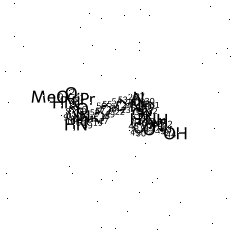 COC(=O)N[C@H](C(=O)N1CCC[C@H]1c1nc(-c2ccc3cc(-c4ccc(-c5cnc([C@@H]6CCCN6C(=O)[C@H](NC(=O)N6CC[C@H](O)C6)c6ccccc6)[nH]5)cc4)ccc3c2)c[nH]1)C(C)C